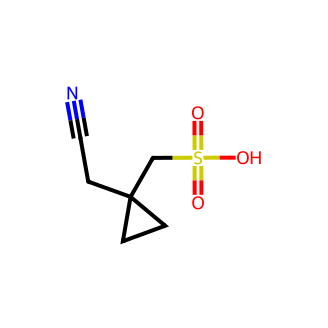 N#CCC1(CS(=O)(=O)O)CC1